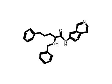 O=C(Nc1ccc2ccncc2c1)C(CCCc1ccccc1)NCc1ccccc1